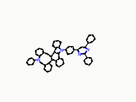 c1ccc(-c2cc(-c3ccc(-n4c5ccccc5c5c6cc7ccccc7n(-c7ccccc7)cc7ccccc7c6c6ccccc6c54)cc3)nc(-c3ccccc3)n2)cc1